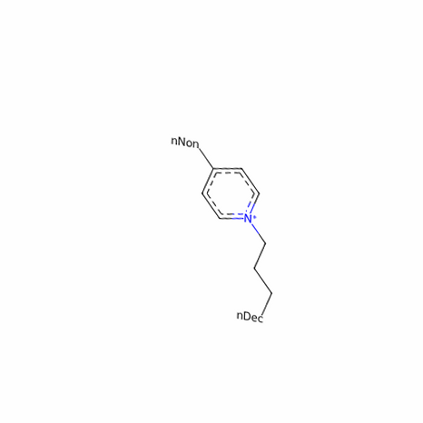 CCCCCCCCCCCCC[n+]1ccc(CCCCCCCCC)cc1